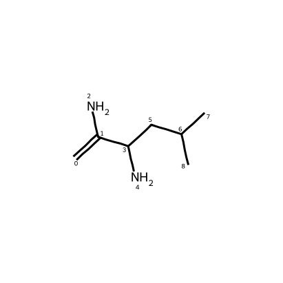 C=C(N)C(N)CC(C)C